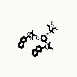 CCCC(C)(OC[C@@H]1CCC[C@H](OCc2nc(-c3ccc4ccccc4c3)oc2C)C1)C(=O)O.Cc1oc(-c2ccc3ccccc3c2)nc1CI